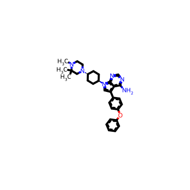 CN1CCN([C@H]2CC[C@H](n3cc(-c4ccc(Oc5ccccc5)cc4)c4c(N)ncnc43)CC2)CC1(C)C